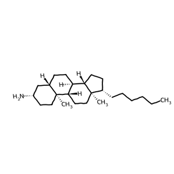 CCCCCC[C@H]1CC[C@H]2[C@@H]3CC[C@H]4C[C@@H](N)CC[C@]4(C)[C@H]3CC[C@]12C